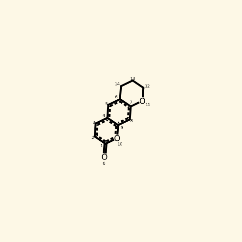 O=c1ccc2cc3c(cc2o1)OCCC3